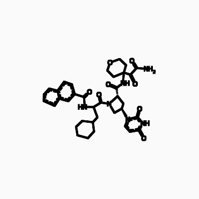 NC(=O)C(=O)C1(NC(=O)[C@@H]2C[C@@H](n3ccc(=O)[nH]c3=O)CN2C(=O)C(CC2CCCCC2)NC(=O)c2ccc3ccccc3c2)CCOCC1